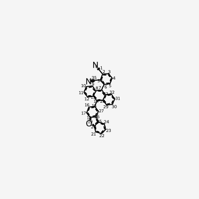 N#Cc1cccc(-c2c3ccccc3c(-c3ccc4oc5ccccc5c4c3)c3ccccc23)c1C#N